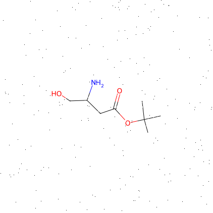 CC(C)(C)OC(=O)CC(N)CO